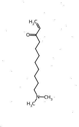 C=CC(=O)CCCCCCCCN(C)C